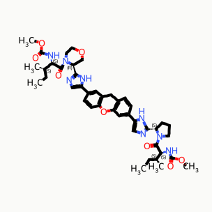 CC[C@H](C)[C@H](NC(=O)OC)C(=O)N1CCC[C@H]1c1ncc(-c2ccc3c(c2)Oc2ccc(-c4cnc([C@@H]5COCCN5C(=O)[C@@H](NC(=O)OC)[C@@H](C)CC)[nH]4)cc2C3)[nH]1